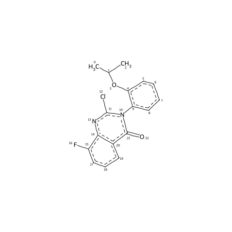 CC(C)Oc1ccccc1-n1c(Cl)nc2c(F)cccc2c1=O